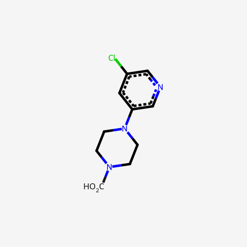 O=C(O)N1CCN(c2cncc(Cl)c2)CC1